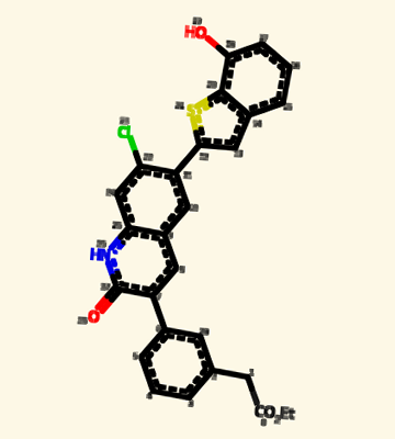 CCOC(=O)Cc1cccc(-c2cc3cc(-c4cc5cccc(O)c5s4)c(Cl)cc3[nH]c2=O)c1